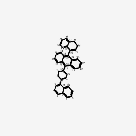 C1=C(c2cccc3ccccc23)CCC(c2c3ccccc3c(C3=CCCc4cccnc43)c3ccccc23)=C1